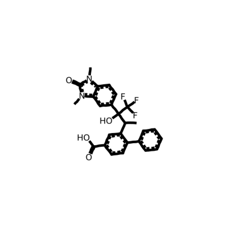 CC(c1cc(C(=O)O)ccc1-c1ccccc1)C(O)(c1ccc2c(c1)n(C)c(=O)n2C)C(F)(F)F